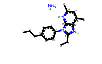 CCCc1ccc(-n2c(CC)nc3c(C)cc(C)nc32)cc1.N